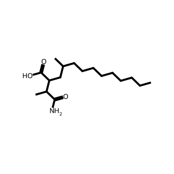 CCCCCCCCCC(C)CC(C(=O)O)C(C)C(N)=O